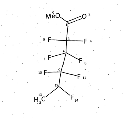 COC(=O)C(F)(F)C(F)(F)C(F)(F)C(C)F